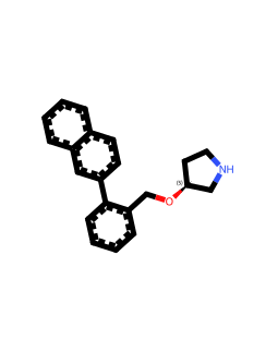 c1ccc(-c2ccc3ccccc3c2)c(CO[C@H]2CCNC2)c1